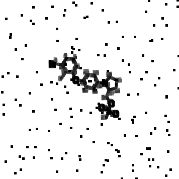 Cc1c(Br)cccc1Oc1ccc(N2CCCC2COS(C)(=O)=O)cc1